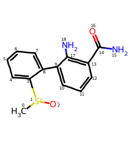 C[S+]([O-])c1ccccc1-c1cccc(C(N)=O)c1N